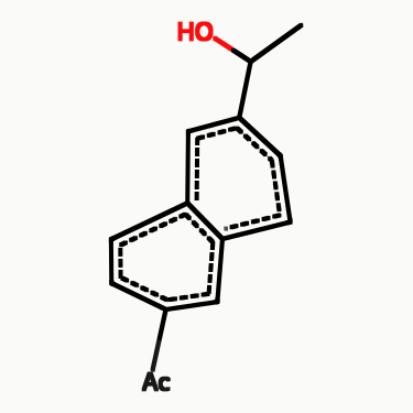 CC(=O)c1ccc2cc(C(C)O)ccc2c1